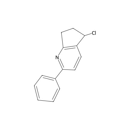 ClC1CCc2nc(-c3ccccc3)ccc21